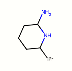 CC(C)C1CCCC(N)N1